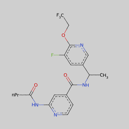 CCCC(=O)Nc1cc(C(=O)NC(C)c2cnc(OCC(F)(F)F)c(F)c2)ccn1